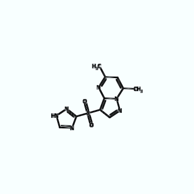 Cc1cc(C)n2ncc(S(=O)(=O)c3nc[nH]n3)c2n1